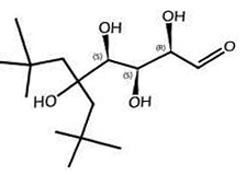 CC(C)(C)CC(O)(CC(C)(C)C)[C@@H](O)[C@H](O)[C@@H](O)C=O